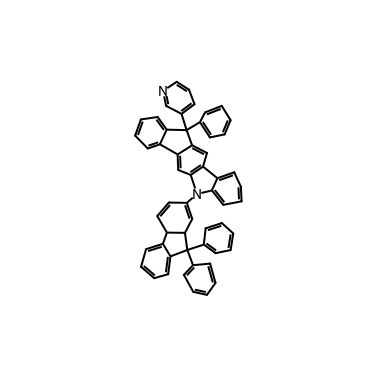 C1=CC2c3ccccc3C(c3ccccc3)(c3ccccc3)C2C=C1n1c2ccccc2c2cc3c(cc21)-c1ccccc1C3(c1ccccc1)c1cccnc1